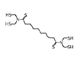 S=C(CCCCCCCCC(=S)N(CS)CS)N(CS)CS